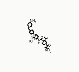 CC(C)[C@H]1CN(C(=O)C(C)(C)N)CCN1C(=O)Nc1ccn(-c2ccc(CN3CCC(N)CC3)cc2)c(=O)n1.Cl